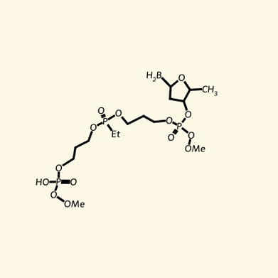 BC1CC(OP(=O)(OCCCOP(=O)(CC)OCCCOP(=O)(O)OOC)OOC)C(C)O1